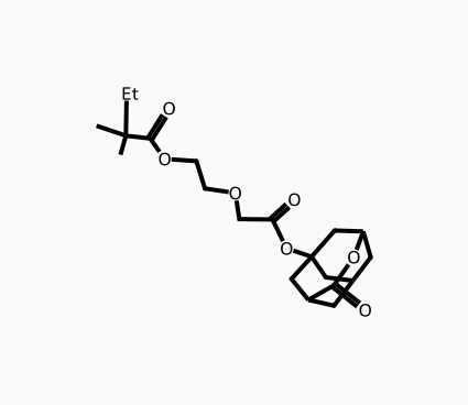 CCC(C)(C)C(=O)OCCOCC(=O)OC12CC3CC(C1)OC(=O)C(C3)C2